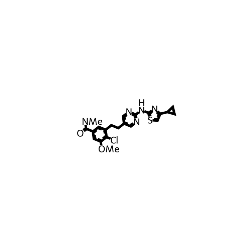 CNC(=O)c1cc(CCc2cnc(Nc3nc(C4CC4)cs3)nc2)c(Cl)c(OC)c1